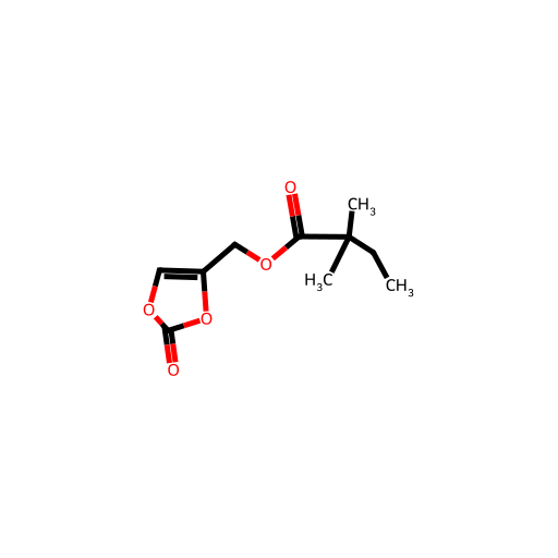 CCC(C)(C)C(=O)OCc1coc(=O)o1